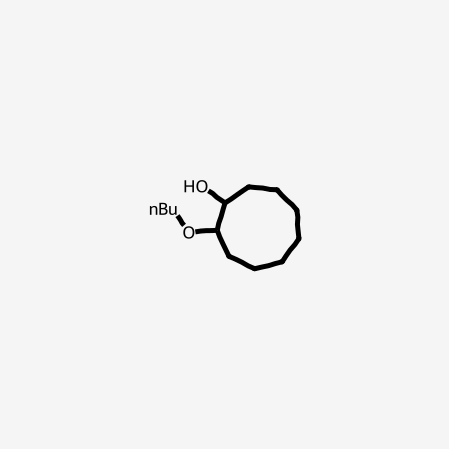 CCCCOC1CCCCCCCC1O